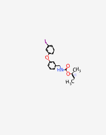 C/C=C(/C)OC(=O)NCc1cccc(Oc2cccc(I)c2)c1